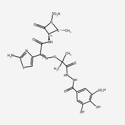 C[C@@H]1[C@@H](NC(=O)/C(=N\OC(C)(C)C(=O)NNC(=O)c2cc(O)c(O)c(S(=O)(=O)O)c2)c2csc(N)n2)C(=O)N1S(=O)(=O)O